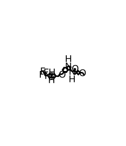 COC1CC(C)(C(=O)Nc2c[nH]c3ccc(OCCC4C[C@@H]5CN(CC(F)(F)F)C[C@@H]5C4)cc23)C1